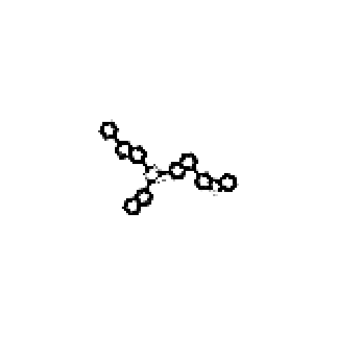 c1ccc(-c2ccc3cc(C4=NC(c5ccc6ccccc6c5)NC(c5ccc6c(-c7ccc8oc9ccccc9c8c7)cccc6c5)=N4)ccc3c2)cc1